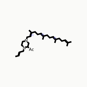 CC=CCN1CCN(C/C=C(\C)CC/C=C(\C)CC/C=C(\C)CCC=C(C)C)CC1C(C)=O